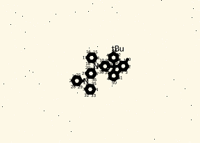 Cc1ccc2c(c1)C(c1ccc(N(c3ccccc3)c3ccc(N(c4ccccc4)c4ccccc4)cc3)cc1)(c1ccc(C(C)(C)C)cc1)c1ccccc1-2